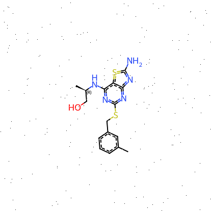 Cc1cccc(CSc2nc(N[C@H](C)CO)c3sc(N)nc3n2)c1